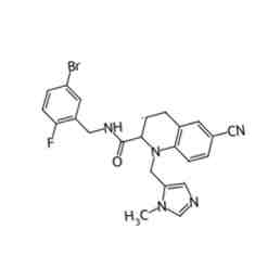 Cn1cncc1CN1c2ccc(C#N)cc2C[CH]C1C(=O)NCc1cc(Br)ccc1F